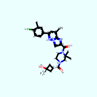 Cc1cc(-c2cc(C(C)C)c3nc(C(=O)N4CCN(C(=O)[C@H]5C[C@](O)(C(F)(F)F)C5)CC4(C)C)cn3n2)ccc1F